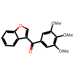 COc1cc(C(=O)c2coc3ccccc23)cc(OC)c1OC